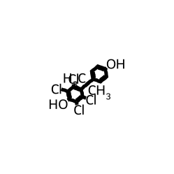 CC(C)(c1ccc(O)cc1)c1c(Cl)c(Cl)c(O)c(Cl)c1Cl